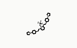 FC(F)(F)C[n+]1c(/C=C/c2ccc(-n3cccc3)cc2)cccc1/C=C/c1ccc(-n2cccc2)cc1